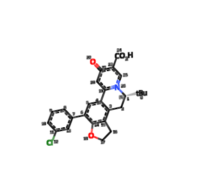 CC(C)(C)[C@@H]1Cc2c(cc(-c3cccc(Cl)c3)c3c2CCO3)-c2cc(=O)c(C(=O)O)cn21